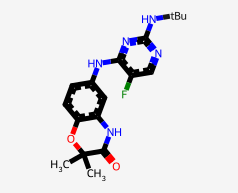 CC(C)(C)Nc1ncc(F)c(Nc2ccc3c(c2)NC(=O)C(C)(C)O3)n1